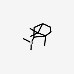 C[Si](C)C1CC2CCC1(C)C2(C)C